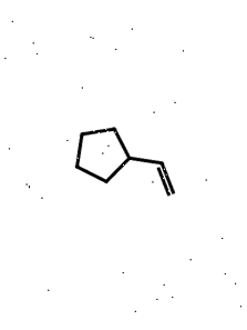 C=CC1CCCC1